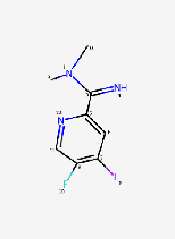 CN(C)C(=N)c1cc(I)c(F)cn1